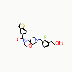 O=C(c1ccc2sccc2c1)N1CCOC2(CCN(Cc3cccc(CCO)c3F)CC2)C1